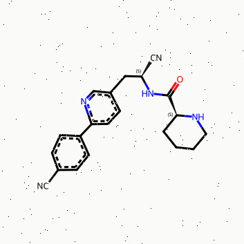 N#Cc1ccc(-c2ccc(C[C@@H](C#N)NC(=O)[C@@H]3CCCCN3)cn2)cc1